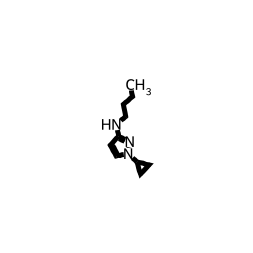 CCCCNc1ccn(C2CC2)n1